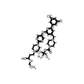 CCOC(O)CCN1CCN(c2ncc(Oc3cc(CN4CCN(C(=O)OC(C)(C)C)CC4)cc(-c4cc(Cl)cc(Cl)c4)n3)cn2)CC1